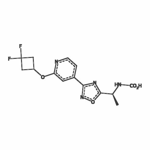 C[C@H](NC(=O)O)c1nc(-c2ccnc(OC3CC(F)(F)C3)c2)no1